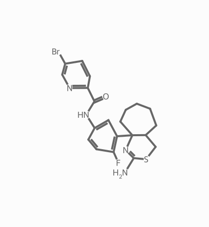 NC1=NC2(c3cc(NC(=O)c4ccc(Br)cn4)ccc3F)CCCCCC2CS1